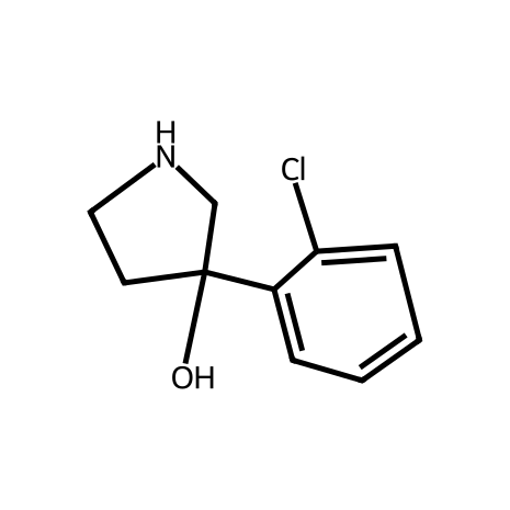 OC1(c2ccccc2Cl)CCNC1